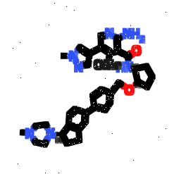 COc1c(-c2cnn(C)c2)cnc(N)c1C(=O)N[C@H]1CCC[C@@H]1OCc1ccc(-c2ccc3c(c2)CC[C@@H]3N2CCN(C)CC2)cc1